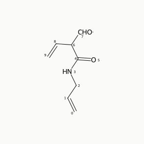 C=CCNC(=O)C([C]=O)C=C